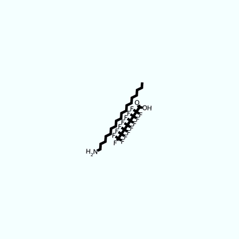 CCCCCCCCCCCCCCCCCCN.O=C(O)C(F)(F)C(F)(F)C(F)(F)C(F)(F)C(F)(F)C(F)(F)C(F)(F)F